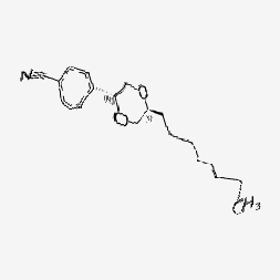 CCCCCCCC[C@H]1CO[C@H](c2ccc(C#N)cc2)CO1